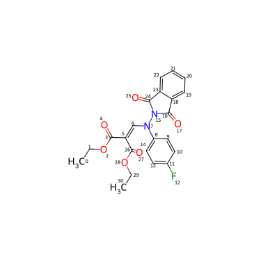 CCOC(=O)C(=CN(c1ccc(F)cc1)N1C(=O)c2ccccc2C1=O)C(=O)OCC